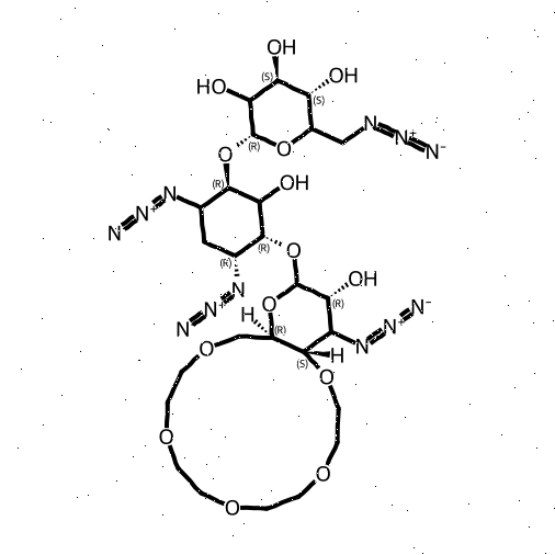 [N-]=[N+]=NCC1O[C@H](O[C@@H]2C(N=[N+]=[N-])C[C@@H](N=[N+]=[N-])[C@@H](OC3O[C@@H]4COCCOCCOCCOCCO[C@H]4C(N=[N+]=[N-])[C@H]3O)C2O)C(O)[C@@H](O)[C@@H]1O